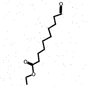 CCOC(=O)CCCCCCCC[C]=O